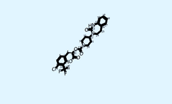 O=C(O)[C@@H](Cc1ccc(Cl)c(C(F)(F)F)c1)OC(=O)N1CCC(N2CCc3ccccc3NC2=O)CC1